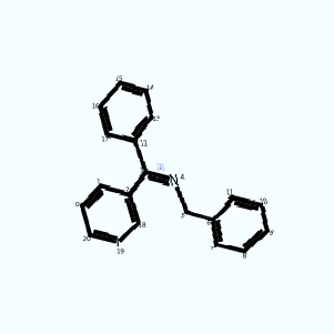 C1=CC(/C(=N\Cc2ccccc2)c2ccccc2)=CI=C1